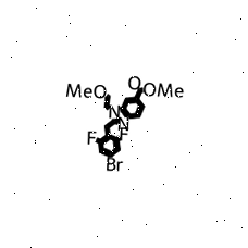 COCCn1c(Cc2c(F)cc(Br)cc2F)nc2ccc(C(=O)OC)cc21